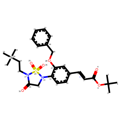 CC(C)(C)OC(=O)/C=C/c1ccc(N2CC(=O)N(CC[Si](C)(C)C)S2(=O)=O)c(OCc2ccccc2)c1